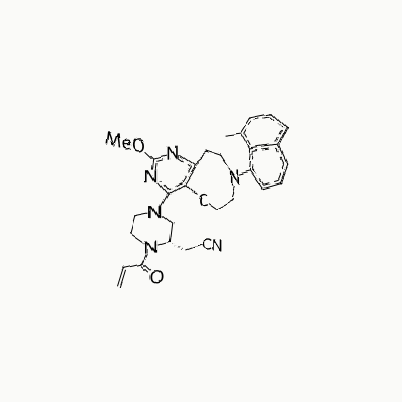 C=CC(=O)N1CCN(c2nc(OC)nc3c2CCCN(c2cccc4cccc(C)c24)CC3)C[C@@H]1CC#N